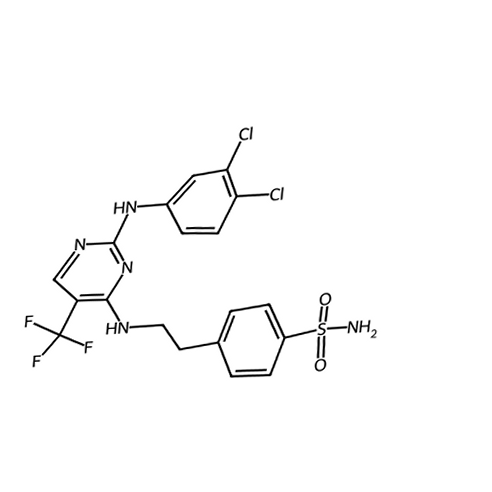 NS(=O)(=O)c1ccc(CCNc2nc(Nc3ccc(Cl)c(Cl)c3)ncc2C(F)(F)F)cc1